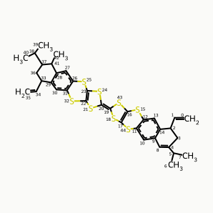 C=CC1CC(C(C)C)=Cc2cc3c(cc21)SC1=C(S/C(=C2\SC4=C(S2)Sc2cc5c(cc2S4)C(C=C)CC(C(C)C)C5C)S1)S3